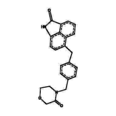 O=C1Nc2ccc(Cc3ccc(CN4CCOCC4=O)cc3)c3cccc1c23